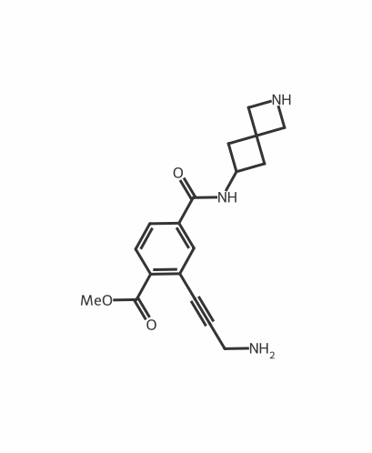 COC(=O)c1ccc(C(=O)NC2CC3(CNC3)C2)cc1C#CCN